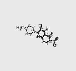 CN1CCN(c2nc3ccc([N+](=O)[O-])c(F)c3c(F)c2Cl)CC1